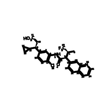 C[C@H]([C@H](C(=O)Nc1cc([C@@H](CC(=O)O)C2CC2)ccc1Cl)c1ccc2cccnc2c1)C(F)(F)F